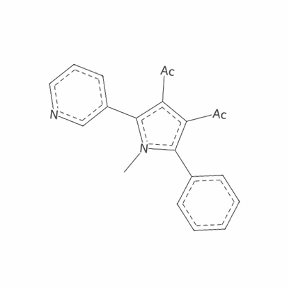 CC(=O)c1c(C(C)=O)c(-c2cccnc2)n(C)c1-c1ccccc1